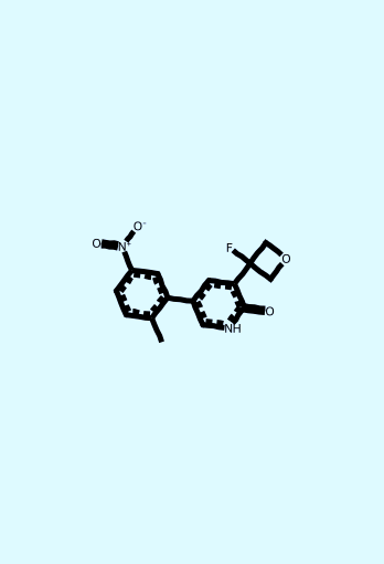 Cc1ccc([N+](=O)[O-])cc1-c1c[nH]c(=O)c(C2(F)COC2)c1